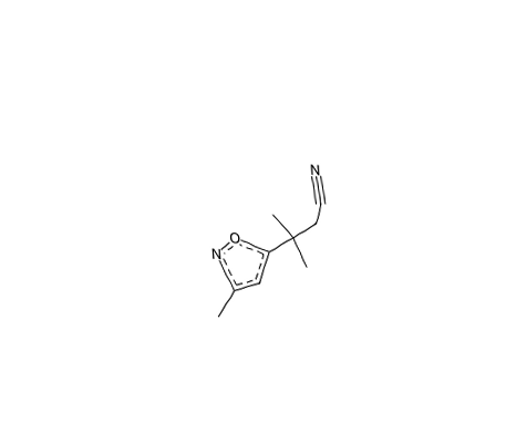 Cc1cc(C(C)(C)CC#N)on1